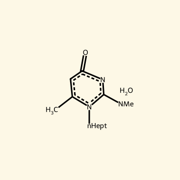 CCCCCCCn1c(C)cc(=O)nc1NC.O